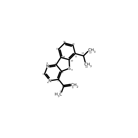 C=C(C)c1ncnc2c1sc1c(C(C)C)cccc12